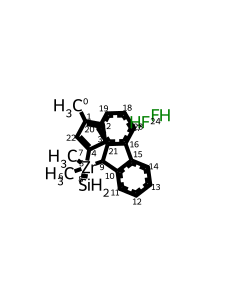 CC1=CC[C]([Zr]([CH3])([CH3])(=[SiH2])[CH]2c3ccccc3-c3ccccc32)=C1.F.F